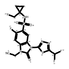 N#CCn1c(=O)n(-c2nnc(C(F)F)s2)c2cc(S(=O)(=O)NC3(CF)CC3)c(F)cc21